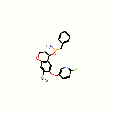 NP(Cc1ccccc1)OC1CCOc2cc([N+](=O)[O-])c(Oc3ccc(F)nc3)cc21